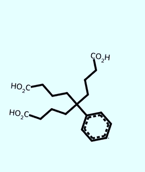 O=C(O)CCCC(CCCC(=O)O)(CCCC(=O)O)c1cc[c]cc1